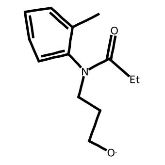 CCC(=O)N(CCC[O])c1ccccc1C